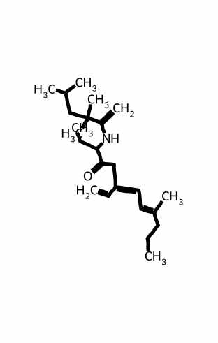 C=C/C(=C\C=C(/C)CCC)CC(=O)C(CC)NC(=C)C(C)(C)CC(C)C